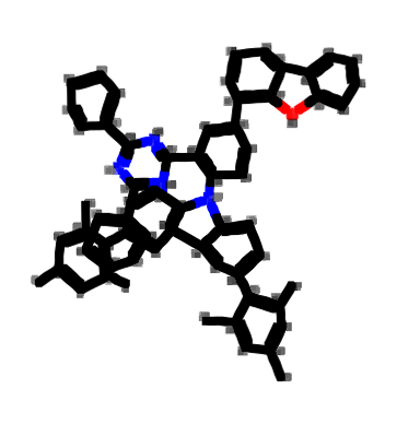 Cc1cc(C)c(-c2ccc3c(c2)c2cc(-c4c(C)cc(C)cc4C)ccc2n3-c2ccc(-c3cccc4c3oc3ccccc34)cc2-c2nc(-c3ccccc3)nc(-c3ccccc3)n2)c(C)c1